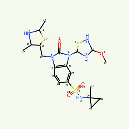 COC1NSC(n2c(=O)n(CC3SC(C)NC3C)c3ccc(S(=O)(=O)NC4(C)CC4)cc32)N1